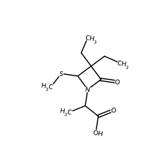 CCC1(CC)C(=O)N(C(C)C(=O)O)C1SC